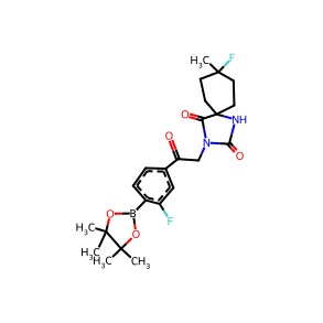 CC1(F)CCC2(CC1)NC(=O)N(CC(=O)c1ccc(B3OC(C)(C)C(C)(C)O3)c(F)c1)C2=O